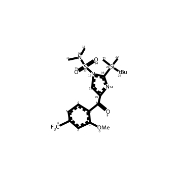 COc1cc(C(F)(F)F)ccc1C(=O)c1cn(S(=O)(=O)N(C)C)c([Si](C)(C)C(C)(C)C)n1